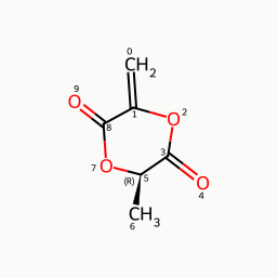 C=C1OC(=O)[C@@H](C)OC1=O